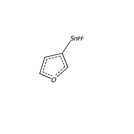 [SnH][c]1ccoc1